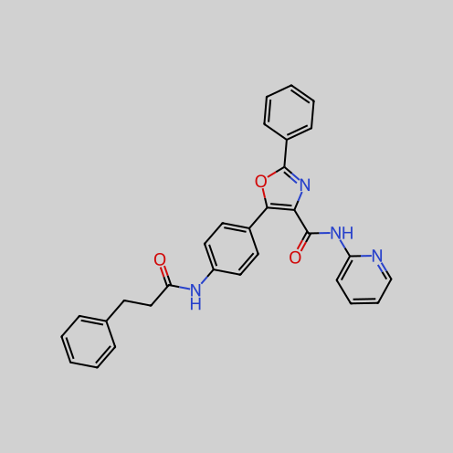 O=C(CCc1ccccc1)Nc1ccc(-c2oc(-c3ccccc3)nc2C(=O)Nc2ccccn2)cc1